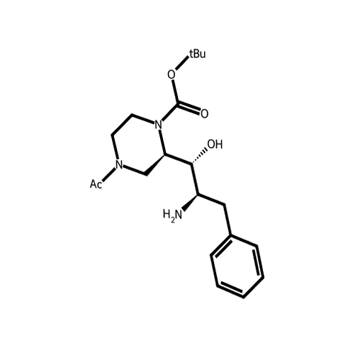 CC(=O)N1CCN(C(=O)OC(C)(C)C)[C@@H]([C@H](O)[C@H](N)Cc2ccccc2)C1